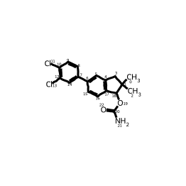 CC1(C)Cc2cc(-c3ccc(Cl)c(Cl)c3)ccc2C1OC(N)=O